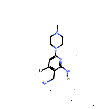 CCc1cc(N2CCN(C)CC2)nc(NC(C)C)c1CN